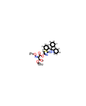 CC(C)O/N=C(\C(=O)Oc1csc(NC(c2ccccc2)(c2ccccc2)c2ccccc2)n1)C(=O)OC(C)(C)C